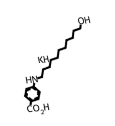 O=C(O)c1ccc(NCCCCCCCCCCCO)cc1.[KH]